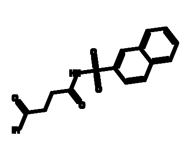 CC(C)C(=O)CCC(=O)NS(=O)(=O)c1ccc2ccccc2c1